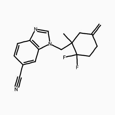 C=C1CCC(F)(F)C(C)(Cn2cnc3ccc(C#N)cc32)C1